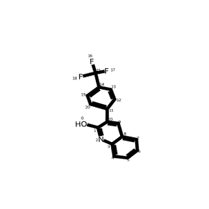 Oc1nc2c[c]ccc2cc1-c1ccc(C(F)(F)F)cc1